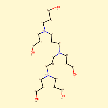 OCCCN(CCCO)CCCN(CCCO)CCCN(CCCO)CCCO